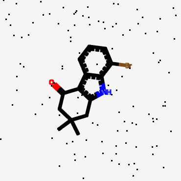 CC1(C)CC(=O)c2c([nH]c3c(Br)cccc23)C1